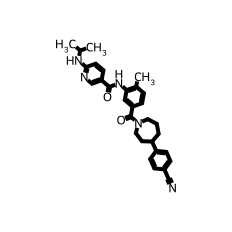 Cc1ccc(C(=O)N2CCCC(c3ccc(C#N)cc3)CC2)cc1NC(=O)c1ccc(NC(C)C)nc1